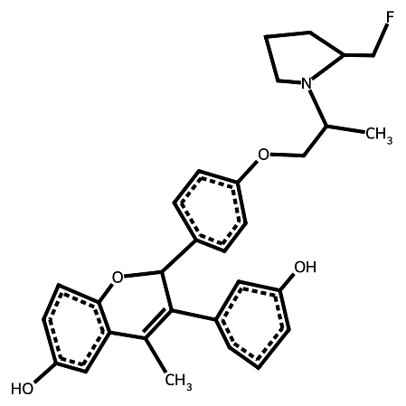 CC1=C(c2cccc(O)c2)C(c2ccc(OCC(C)N3CCCC3CF)cc2)Oc2ccc(O)cc21